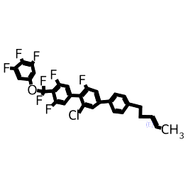 C/C=C/CCc1ccc(-c2cc(F)c(-c3cc(F)c(C(F)(F)Oc4cc(F)c(F)c(F)c4)c(F)c3)c(Cl)c2)cc1